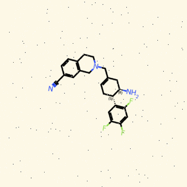 N#Cc1ccc2c(c1)CN(CC1=CC[C@@H](c3cc(F)c(F)cc3F)[C@H](N)C1)CC2